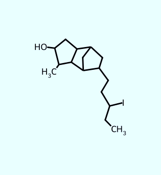 CCC(I)CCC1CC2CC1C1C(C)C(O)CC21